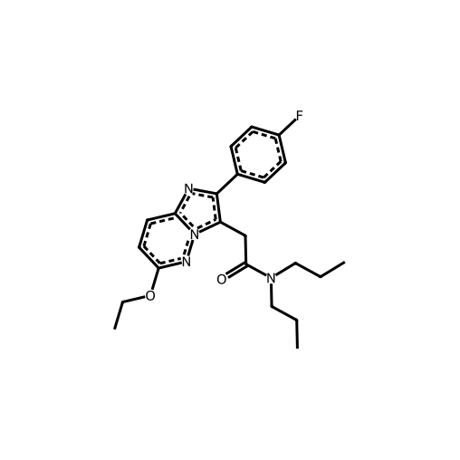 CCCN(CCC)C(=O)Cc1c(-c2ccc(F)cc2)nc2ccc(OCC)nn12